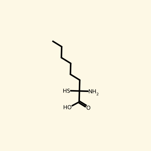 CCCCCCC(N)(S)C(=O)O